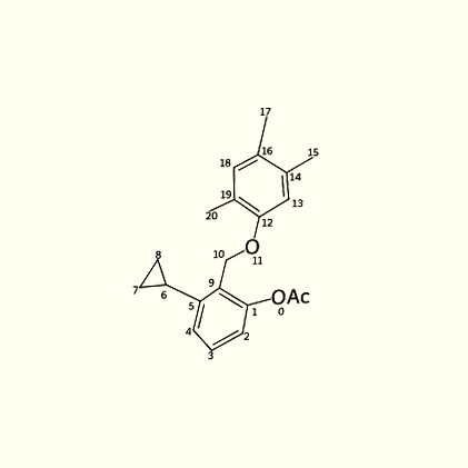 CC(=O)Oc1cccc(C2CC2)c1COc1cc(C)c(C)cc1C